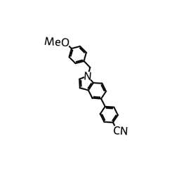 COc1ccc(Cn2ccc3cc(-c4ccc(C#N)cc4)ccc32)cc1